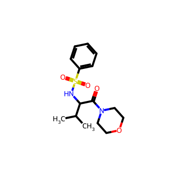 CC(C)C(NS(=O)(=O)c1ccccc1)C(=O)N1CCOCC1